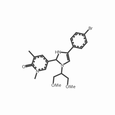 COCC(COC)N1C=C(c2ccc(Br)cc2)NC1c1cc(C)c(=O)n(C)c1